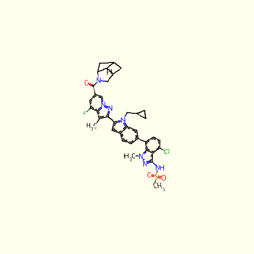 Cc1c(-c2cc3ccc(-c4ccc(Cl)c5c(NS(C)(=O)=O)nn(C)c45)cc3n2CC2CC2)nn2cc(C(=O)N3CC4CC5CC3[C@H]54)cc(F)c12